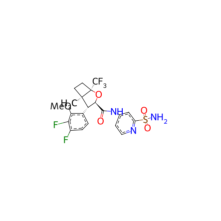 COc1c([C@H]2[C@H](C(=O)Nc3ccnc(S(N)(=O)=O)c3)O[C@]3(C(F)(F)F)CC[C@]23C)ccc(F)c1F